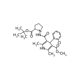 COC(=O)C1=C(C)NC(C)=C(C(=O)NN2CCCC2C(=O)OC(C)(C)C)C1c1ccccc1Cl